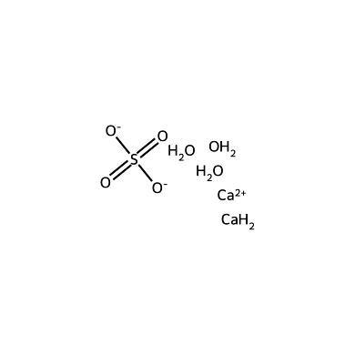 O.O.O.O=S(=O)([O-])[O-].[Ca+2].[CaH2]